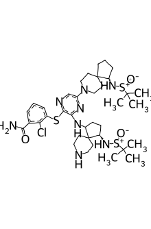 CC(C)(C)[S@@+]([O-])N[C@@H]1CCCC12CCN(c1cnc(Sc3cccc(C(N)=O)c3Cl)c(NC3CC[C@@H](N[S@+]([O-])C(C)(C)C)C34CCNCC4)n1)CC2